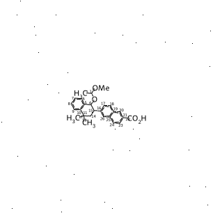 COC(C)OC1c2ccccc2C(C)(C)CC1c1ccc2cc(C(=O)O)ccc2c1